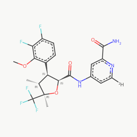 [2H]c1cc(NC(=O)[C@H]2O[C@@](C)(C(F)(F)F)[C@H](C)[C@H]2c2ccc(F)c(F)c2OC)cc(C(N)=O)n1